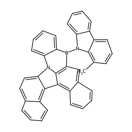 Cc1cccc2c3ccccc3n(B3c4ccccc4-n4c5ccc6ccccc6c5c5c6ccccc6cc3c54)c12